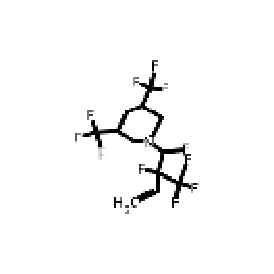 C=CC(F)(C(F)N1CC(C(F)(F)F)CC(C(F)(F)F)C1)C(F)(F)F